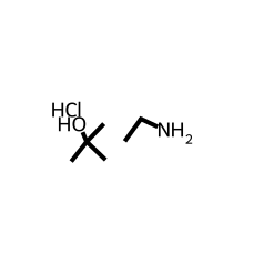 CC(C)(C)O.CCN.Cl